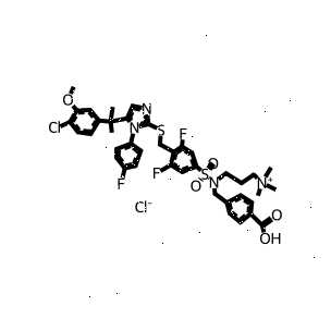 COc1cc(C(C)(C)c2cnc(SCc3c(F)cc(S(=O)(=O)N(CCC[N+](C)(C)C)Cc4ccc(C(=O)O)cc4)cc3F)n2-c2ccc(F)cc2)ccc1Cl.[Cl-]